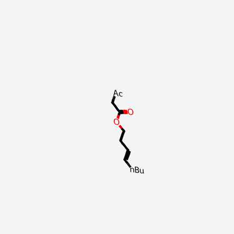 CCCCC=CCCOC(=O)CC(C)=O